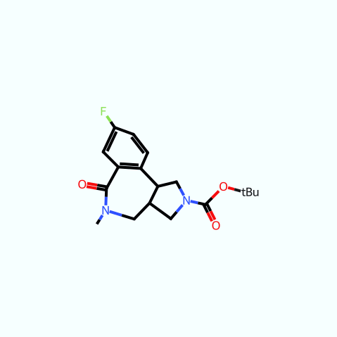 CN1CC2CN(C(=O)OC(C)(C)C)CC2c2ccc(F)cc2C1=O